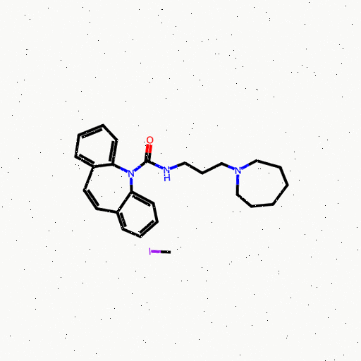 CI.O=C(NCCCN1CCCCCC1)N1c2ccccc2C=Cc2ccccc21